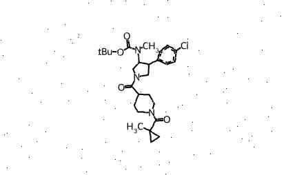 CN(C(=O)OC(C)(C)C)C1CN(C(=O)C2CCN(C(=O)C3(C)CC3)CC2)CC1c1ccc(Cl)cc1